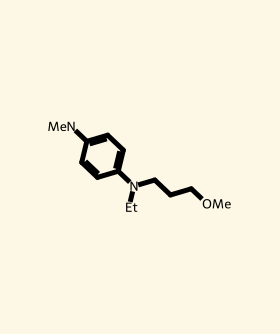 CCN(CCCOC)c1ccc(NC)cc1